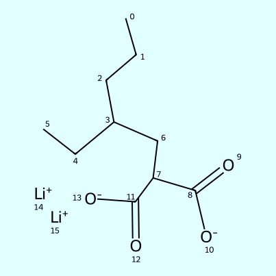 CCCC(CC)CC(C(=O)[O-])C(=O)[O-].[Li+].[Li+]